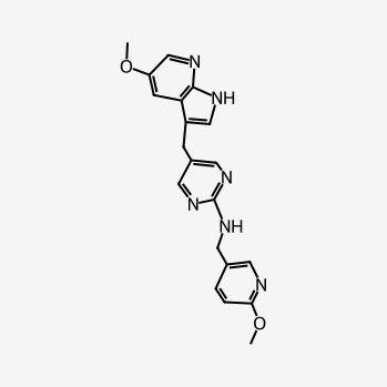 COc1cnc2[nH]cc(Cc3cnc(NCc4ccc(OC)nc4)nc3)c2c1